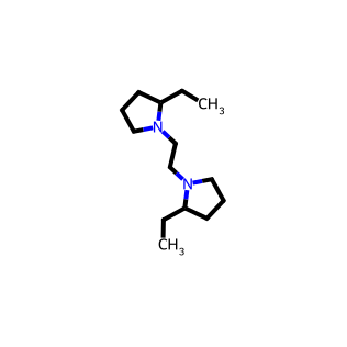 CCC1CCCN1CCN1CCCC1CC